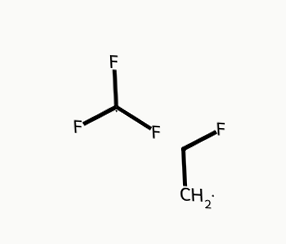 F[C](F)F.[CH2]CF